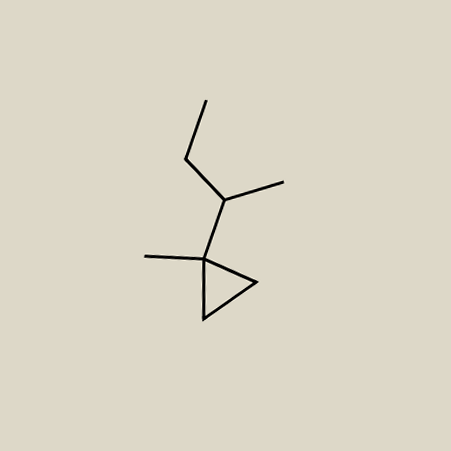 CCC(C)C1(C)CC1